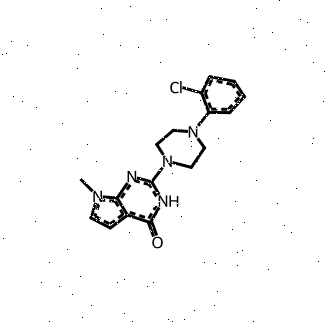 Cn1ccc2c(=O)[nH]c(N3CCN(c4ccccc4Cl)CC3)nc21